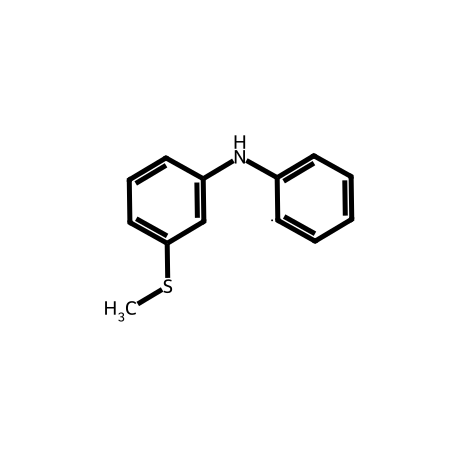 CSc1cccc(Nc2[c]cccc2)c1